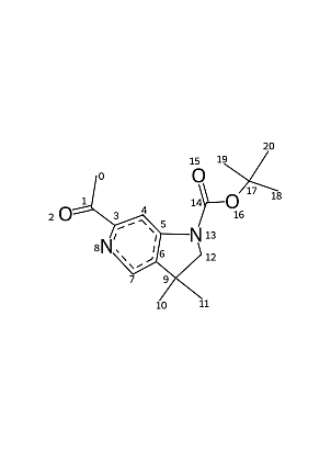 CC(=O)c1cc2c(cn1)C(C)(C)CN2C(=O)OC(C)(C)C